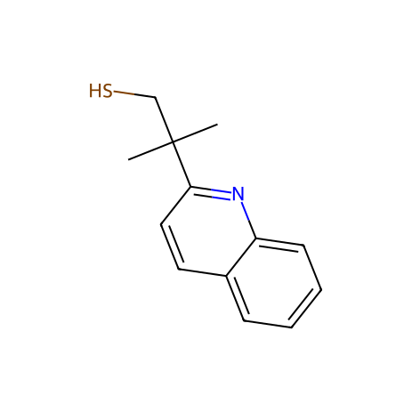 CC(C)(CS)c1ccc2ccccc2n1